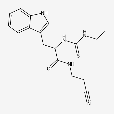 CCNC(=S)NC(Cc1c[nH]c2ccccc12)C(=O)NCCC#N